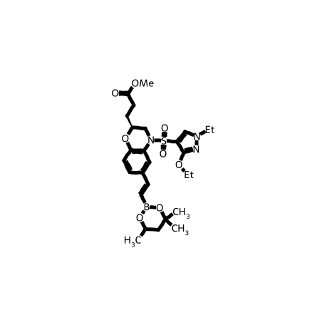 CCOc1nn(CC)cc1S(=O)(=O)N1C[C@H](CCC(=O)OC)Oc2ccc(C=CB3OC(C)CC(C)(C)O3)cc21